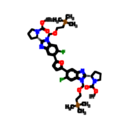 CC(C)OC(=O)N1CCC[C@H]1c1nc2cc(-c3ccc(-c4cc5nc([C@@H]6CCCN6C(=O)OC(C)(C)C)n(COCCS(C)(C)C)c5cc4F)o3)c(F)cc2n1COCCS(C)(C)C